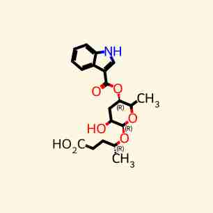 CC1O[C@@H](O[C@H](C)CCC(=O)O)C(O)C[C@H]1OC(=O)c1c[nH]c2ccccc12